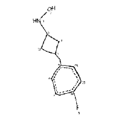 ONC1CC(c2ccc(F)cc2)C1